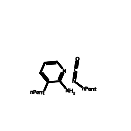 CCCCCN=C=O.CCCCCc1cccnc1N